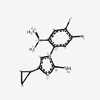 CN(C)c1cc(F)c(Br)cc1-n1cc(C2CC2)nc1S